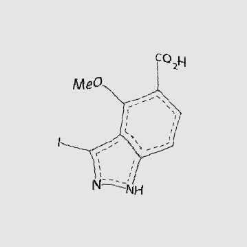 COc1c(C(=O)O)ccc2[nH]nc(I)c12